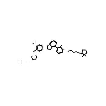 CCOc1cc(O[C@H]2CCc3c(-c4cccc(OCCCCCC5CCCC5(C)C)c4C)cccc32)c(Cl)cc1CN1CC[C@@H](C(=O)O)C1